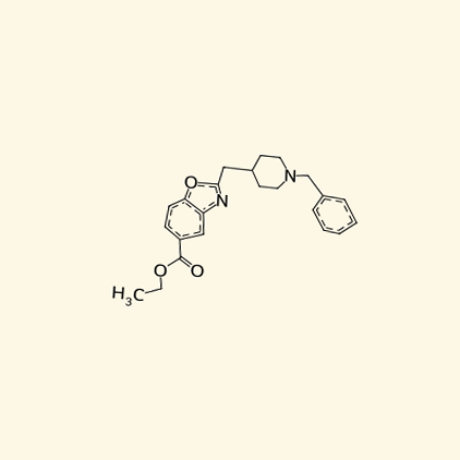 CCOC(=O)c1ccc2oc(CC3CCN(Cc4ccccc4)CC3)nc2c1